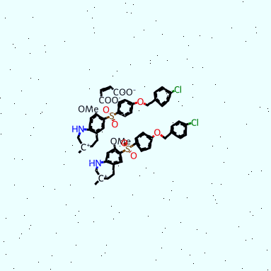 COc1cc2c(cc1S(=O)(=O)c1ccc(OCc3ccc(Cl)cc3)cc1)CC[C+](C)CN2.COc1cc2c(cc1S(=O)(=O)c1ccc(OCc3ccc(Cl)cc3)cc1)CC[C+](C)CN2.O=C([O-])/C=C\C(=O)[O-]